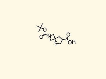 CC(C)(C)OC(=O)N1CC2(CC(C(=O)O)CS2)C1